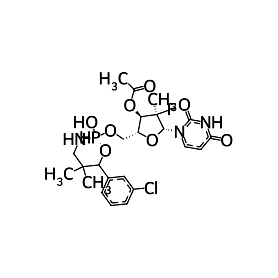 CC(=O)O[C@@H]1[C@@H](CO[PH]2(O)NCC(C)(C)C(c3cccc(Cl)c3)O2)O[C@@H](n2ccc(=O)[nH]c2=O)[C@]1(C)F